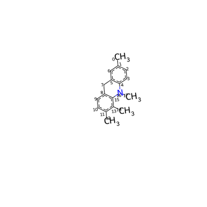 Cc1ccc2c(c1)Cc1ccc(C)c(C)c1N2C